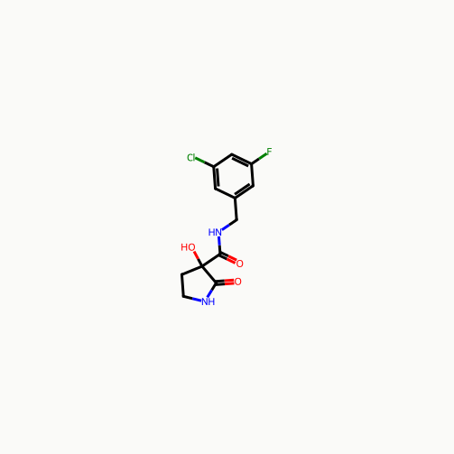 O=C1NCCC1(O)C(=O)NCc1cc(F)cc(Cl)c1